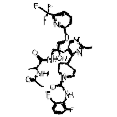 CC(=O)NC(C)C(=O)NCC(O)(COc1cccc(C(F)(F)F)n1)c1cnc(C)nc1C1CCN(C(=O)Nc2c(F)cccc2F)CC1